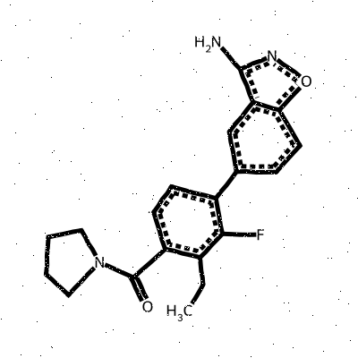 CCc1c(C(=O)N2CCCC2)[c]cc(-c2ccc3onc(N)c3c2)c1F